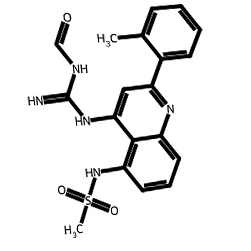 Cc1ccccc1-c1cc(NC(=N)NC=O)c2c(NS(C)(=O)=O)cccc2n1